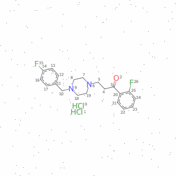 Cl.Cl.O=C(CCN1CCN(Cc2ccc(F)cc2)CC1)c1ccccc1F